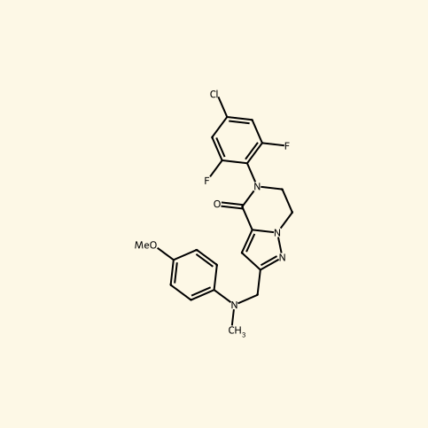 COc1ccc(N(C)Cc2cc3n(n2)CCN(c2c(F)cc(Cl)cc2F)C3=O)cc1